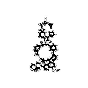 CCn1c(-c2cc(N3CCN4CCOC[C@@H]4C3)cnc2[C@H](C)OC)c2c3cc(ccc31)-c1cccc(c1)C[C@H](NC(=O)[C@H](C1CCCC1)N1CCCC3(CN(C(=O)[C@@H]4N[C@@H]4C4CC4)C3)C1)C(=O)N1CCC[C@H](N1)C(=O)OCC(C)(C)C2